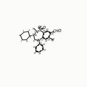 CN1[C@H](C2CCCCC2)CN(c2ccccc2)c2cc(F)c(C=O)cc2S1(=O)=O